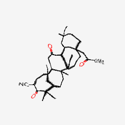 COC(=O)CC12CCC(C)(C)CC1C1C(=O)CC3C4(C)C=C(C#N)C(=O)C(C)(C)C4CCC3(C)C1(C)CC2